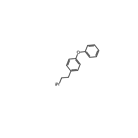 CC(C)CCc1ccc(Oc2ccccc2)cc1